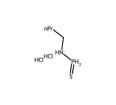 CCCCN[PH2]=S.Cl.Cl